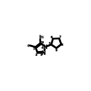 Cc1cnn(C2CCCC2)c1I